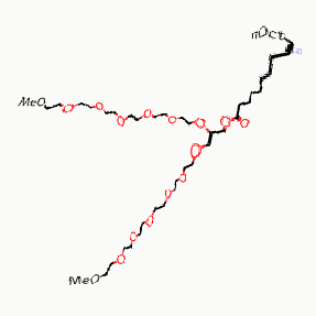 CCCCCCCC/C=C\CCCCCCCC(=O)OCC(COCCOCCOCCOCCOCCOCCOC)OCCOCCOCCOCCOCCOCCOC